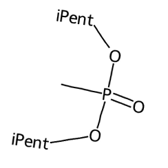 CCCC(C)OP(C)(=O)OC(C)CCC